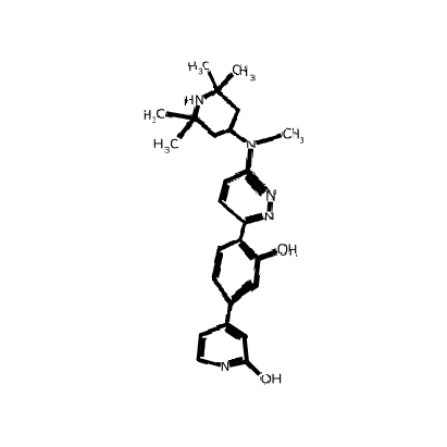 CN(c1ccc(-c2ccc(-c3ccnc(O)c3)cc2O)nn1)C1CC(C)(C)NC(C)(C)C1